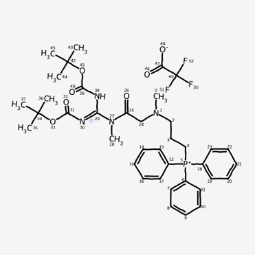 CN(CCC[P+](c1ccccc1)(c1ccccc1)c1ccccc1)CC(=O)N(C)/C(=N/C(=O)OC(C)(C)C)NC(=O)OC(C)(C)C.O=C([O-])C(F)(F)F